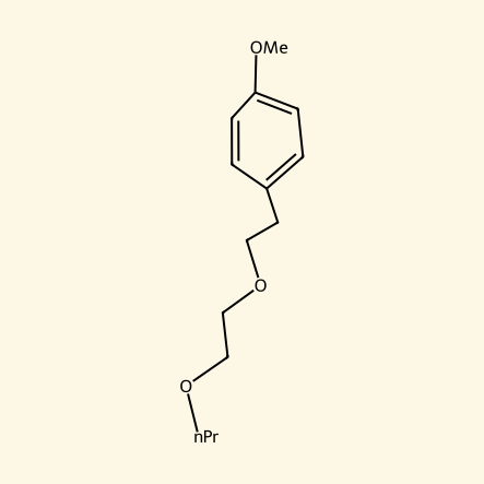 CCCOCCOCCc1ccc(OC)cc1